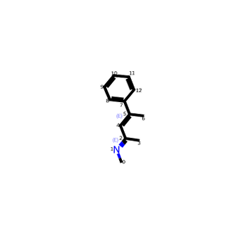 C/N=C(C)/C=C(\C)c1ccccc1